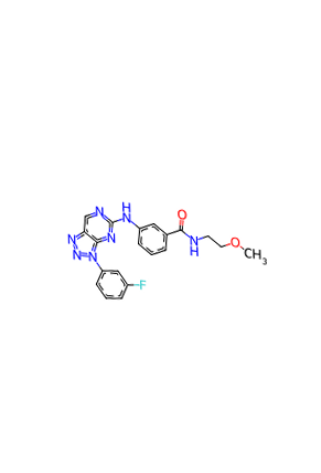 COCCNC(=O)c1cccc(Nc2ncc3nnn(-c4cccc(F)c4)c3n2)c1